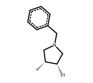 CC[C@H]1CN(Cc2ccccc2)C[C@H]1C